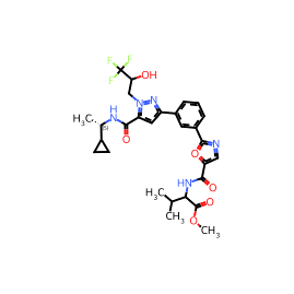 COC(=O)C(NC(=O)c1cnc(-c2cccc(-c3cc(C(=O)N[C@@H](C)C4CC4)n(CC(O)C(F)(F)F)n3)c2)o1)C(C)C